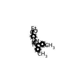 CCC(=O)OC1CCN(c2nnc(-c3ccc(C)cc3)c(-c3ccc(C)cc3)n2)CC1